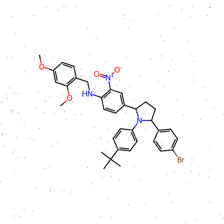 COc1ccc(CNc2ccc(C3CCC(c4ccc(Br)cc4)N3c3ccc(C(C)(C)C)cc3)cc2[N+](=O)[O-])c(OC)c1